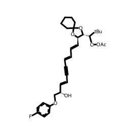 CC(=O)OOC([C@H]1OC2(CCCCC2)O[C@@H]1C=CC=CC#CC=C[C@H](O)COc1ccc(F)cc1)C(C)(C)C